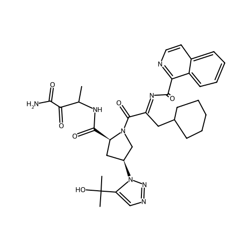 CC(NC(=O)[C@@H]1C[C@H](n2nncc2C(C)(C)O)CN1C(=O)/C(CC1CCCCC1)=N/C(=O)c1nccc2ccccc12)C(=O)C(N)=O